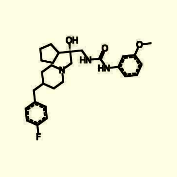 COc1cccc(NC(=O)NC[C@@](O)(CN2CCC(Cc3ccc(F)cc3)CC2)C2CCCC2)c1